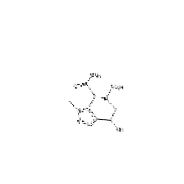 COC(=O)C1c2c(cnn2C)C(O)CN1C(=O)O